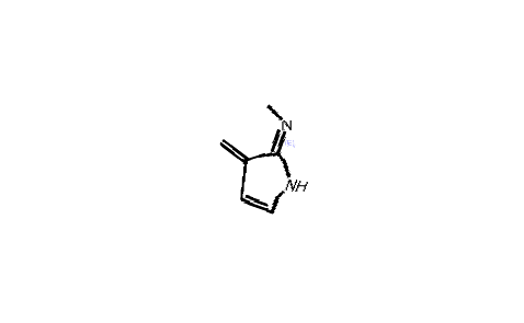 C=C1C=CN/C1=N/C